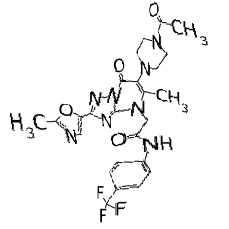 CC(=O)N1CCN(c2c(C)n(CC(=O)Nc3ccc(C(F)(F)F)cc3)c3nc(-c4cnc(C)o4)nn3c2=O)CC1